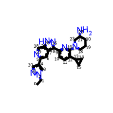 CCn1cc(-c2cc3c(-c4ccc(C5CC5)c(N5CCCC(N)C5)n4)n[nH]c3cn2)cn1